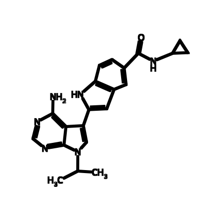 CC(C)n1cc(-c2cc3cc(C(=O)NC4CC4)ccc3[nH]2)c2c(N)ncnc21